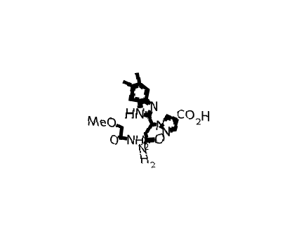 COCC(N)=O.Cc1cc2nc(C(CC(N)=O)n3cc(C(=O)O)cn3)[nH]c2cc1C